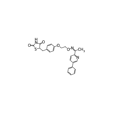 CC(=NOCCOc1ccc(CC2SC(=O)NC2=O)cc1)c1ccc(-c2ccccc2)cn1